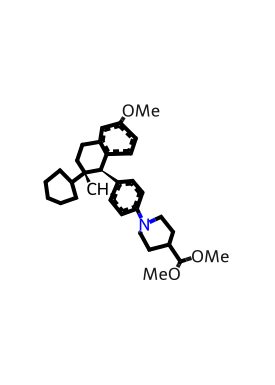 COc1ccc2c(c1)CC[C@@](C)(C1CCCCC1)[C@@H]2c1ccc(N2CCC(C(OC)OC)CC2)cc1